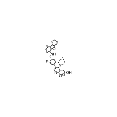 CC1(C)CCN(c2c(-c3ccc(CNc4ncnc5c4oc4ccccc45)c(F)c3)cnc(Cl)c2CC(=O)O)CC1